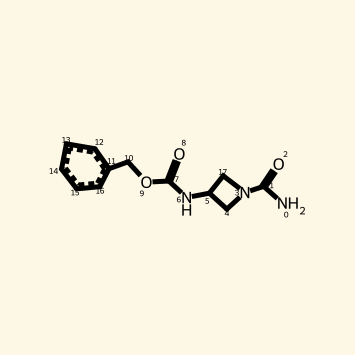 NC(=O)N1CC(NC(=O)OCc2ccccc2)C1